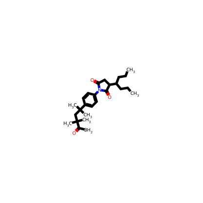 BC(=O)C(C)(C)CC(C)(C)c1ccc(N2C(=O)CC(C(CCC)CCC)C2=O)cc1